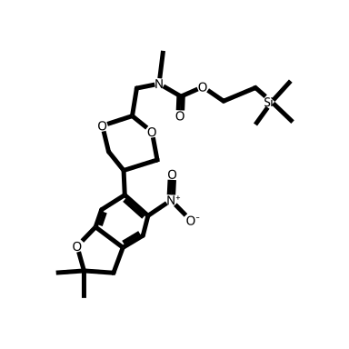 CN(CC1OCC(c2cc3c(cc2[N+](=O)[O-])CC(C)(C)O3)CO1)C(=O)OCC[Si](C)(C)C